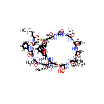 C=C1NC(=O)[C@H]([C@@H](C)CC)NC(=O)[C@@H]2CSSC[C@H](NC(=O)CCC(=O)O)C(=O)N[C@H](Cc3ccccc3)C(=O)N[C@H](C)C(=O)N[C@@H](C[C@@H](C)CC)C(=O)N[C@@H](C(=O)N[C@H](Cc3ccccc3)C(=O)N3CCC[C@H]3C(=O)N2)[C@@H](C)OC(=O)[C@H](CO)NC(=O)[C@H]([C@@H](C)OC)N(C)C(=O)C(C(C)C)NC(=O)[C@H](C[C@H](C)CC)NC1=O